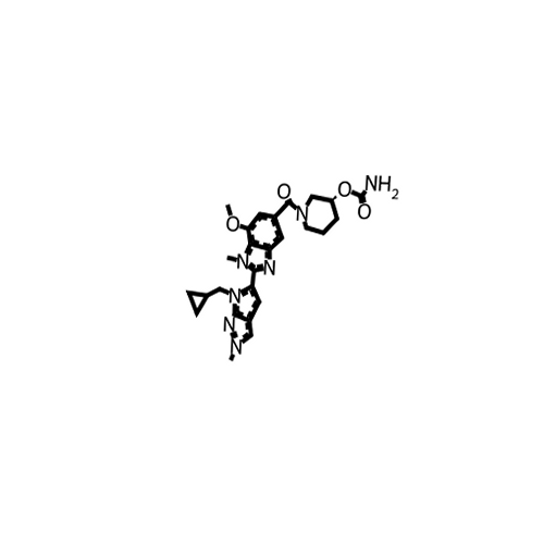 COc1cc(C(=O)N2CCC[C@@H](OC(N)=O)C2)cc2nc(-c3cc4cn(C)nc4n3CC3CC3)n(C)c12